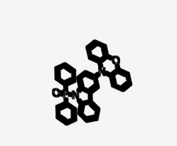 O=P(c1ccccc1)(c1ccccc1)n1c2ccccc2c2cc(N3c4ccccc4Oc4ccccc43)ccc21